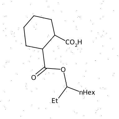 CCCCCCC(CC)OC(=O)C1CCCCC1C(=O)O